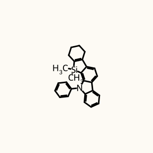 C[Si]1(C)C2=C(CCCC2)c2ccc3c4ccccc4n(-c4ccccc4)c3c21